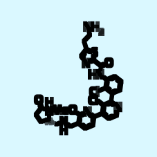 COc1nc(-c2ccnc(-c3cccc(NC(=O)c4ncc(CCN)s4)c3Cl)c2Cl)ccc1CNC[C@@H]1CCC(=O)N1